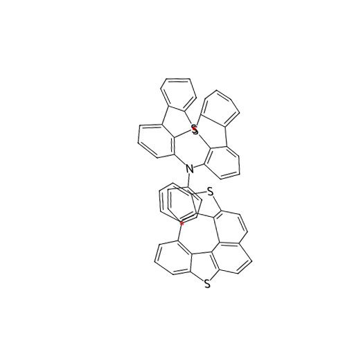 c1ccc2c(c1)sc1c(N(c3ccc(-c4cccc5sc6ccc7ccc8sc9ccccc9c8c7c6c45)cc3)c3cccc4c3sc3ccccc34)cccc12